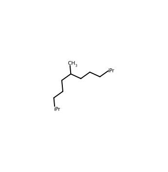 [CH2]C(C)CCCC(C)CCCC(C)C